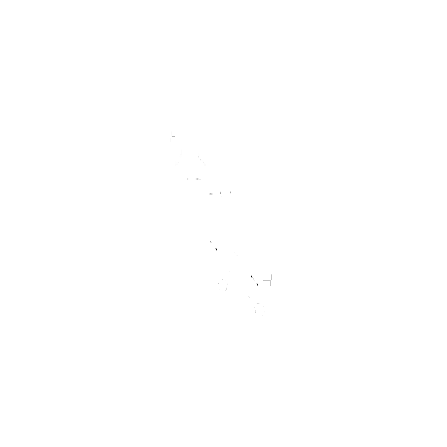 CC1OC2(CCN(CCCC(=O)c3ccc(F)cc3)CC2)CNC1=O